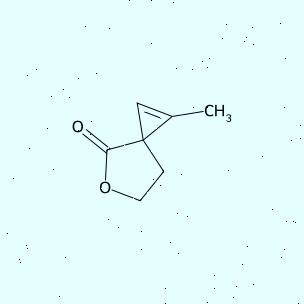 CC1=CC12CCOC2=O